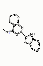 C/N=c1/oc(-c2cc3ccccc3[nH]2)nc2ccccc12